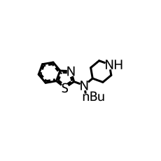 CCCCN(c1nc2ccccc2s1)C1CCNCC1